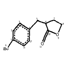 CCC(C)c1ccc(CC2CCOC2=O)cc1